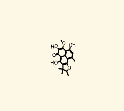 COC1=C(O)C(=O)c2c(O)c3c(c4c(C)cc(O)c1c24)OC(C)C3(C)C